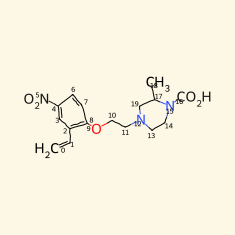 C=Cc1cc([N+](=O)[O-])ccc1OCCN1CCN(C(=O)O)C(C)C1